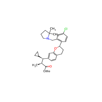 COC(=O)[C@@H](C)[C@H](c1ccc2c(c1)OC(c1ccc(Cl)cc1CN1CCCC1(C)C)CC2)C1CC1